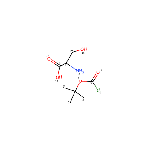 CC(C)(C)OC(=O)Cl.NC(CO)C(=O)O